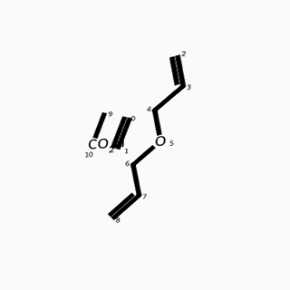 C=C.C=CCOCC=C.CC(=O)O